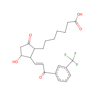 O=C(O)CCCCCCC1C(=O)CC(O)C1C=CC(=O)c1cccc(C(F)(F)F)c1